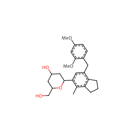 COc1ccc(Cc2cc(C3CC(O)CC(CO)O3)c(C)c3c2CCC3)c(OC)c1